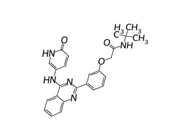 CC(C)(C)NC(=O)COc1cccc(-c2nc(Nc3ccc(=O)[nH]c3)c3ccccc3n2)c1